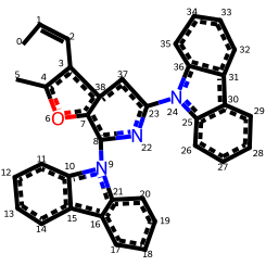 C/C=C\c1c(C)oc2c(-n3c4ccccc4c4ccccc43)nc(-n3c4ccccc4c4ccccc43)cc12